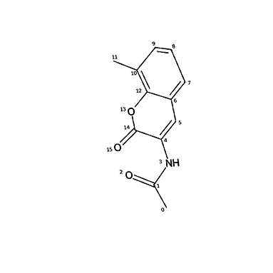 CC(=O)Nc1cc2cccc(C)c2oc1=O